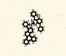 c1ccc(-c2ccc3c4c(nc(-n5c6ccccc6c6c7ccc8c9ccccc9c9ccccc9c8c7ccc65)nc24)-c2ccccc2O3)cc1